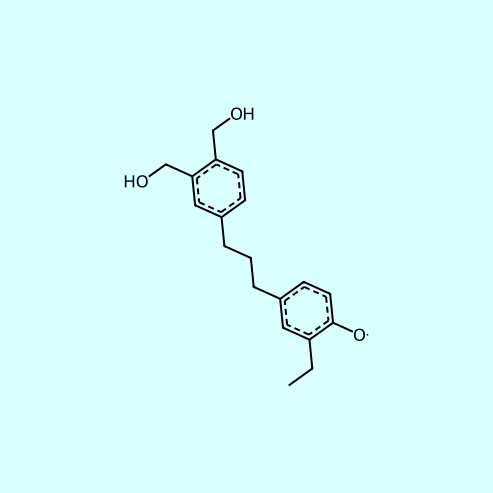 CCc1cc(CCCc2ccc(CO)c(CO)c2)ccc1[O]